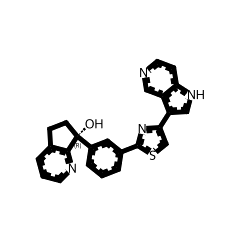 O[C@@]1(c2cccc(-c3nc(-c4c[nH]c5ccncc45)cs3)c2)CCc2cccnc21